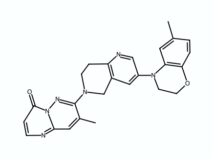 Cc1ccc2c(c1)N(c1cnc3c(c1)CN(c1nn4c(=O)ccnc4cc1C)CC3)CCO2